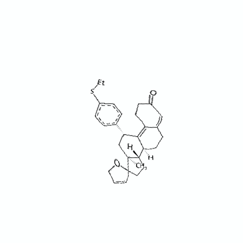 CCSc1ccc([C@H]2C[C@@]3(C)[C@@H](CCC34C=CCO4)[C@@H]3CCC4=CC(=O)CCC4=C32)cc1